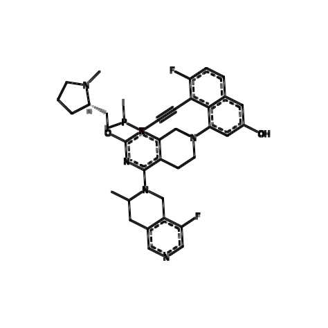 CC1Cc2cncc(F)c2CN1c1nc(OC[C@@H]2CCCN2C)nc2c1CCN(c1cc(O)cc3ccc(F)c(C#CSP(I)I)c13)C2